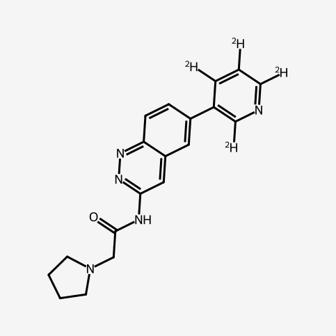 [2H]c1nc([2H])c(-c2ccc3nnc(NC(=O)CN4CCCC4)cc3c2)c([2H])c1[2H]